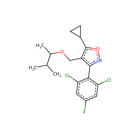 CC(C)C(C)OCc1c(-c2c(Cl)cc(F)cc2Cl)noc1C1CC1